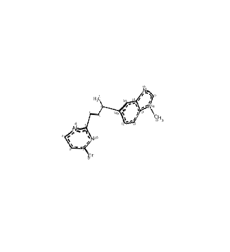 CCc1ccnc(CCC(C)c2ccc3c(c2)ncn3C)n1